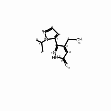 CC(C)n1nccc1-c1n[nH]c(=O)cc1CO